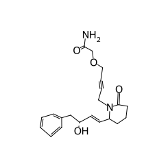 NC(=O)COCC#CCN1C(=O)CCCC1/C=C/[C@H](O)Cc1ccccc1